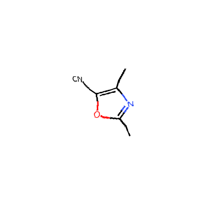 [C-]#[N+]c1oc(C)nc1C